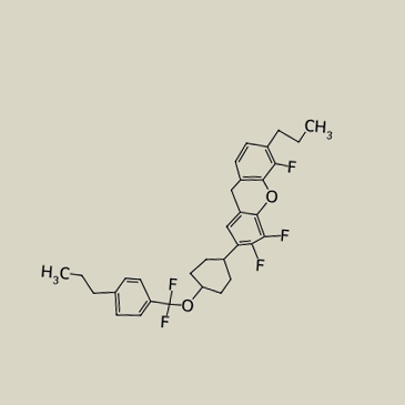 CCCc1ccc(C(F)(F)OC2CCC(c3cc4c(c(F)c3F)Oc3c(ccc(CCC)c3F)C4)CC2)cc1